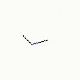 O=C(O)CCCCCCCCCCC/C=C\CCCCCCCC[N+](=O)[O-]